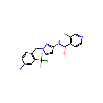 O=C(Nc1ccn(Cc2ccc(I)cc2C(F)(F)F)n1)c1ccncc1F